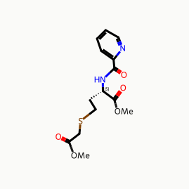 COC(=O)CSCC[C@H](NC(=O)c1ccccn1)C(=O)OC